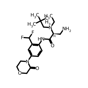 CCN(CC(C)(C)C)[C@@H](CN)C(=O)Nc1ccc(N2CCOCC2=O)cc1C(F)F